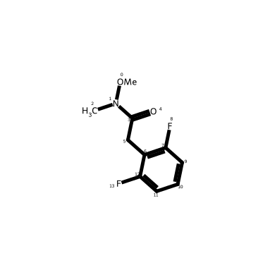 CON(C)C(=O)Cc1c(F)cccc1F